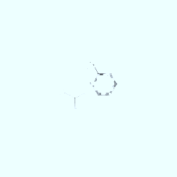 ClC(Cl)Cl.Nc1ccccn1